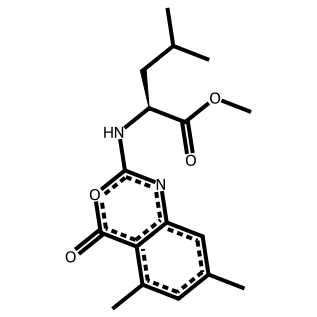 COC(=O)[C@H](CC(C)C)Nc1nc2cc(C)cc(C)c2c(=O)o1